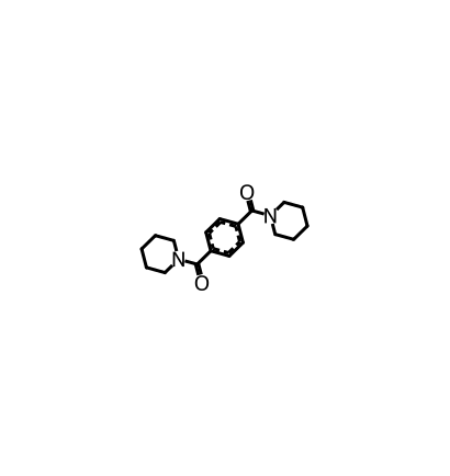 O=C(c1ccc(C(=O)N2CCCCC2)cc1)N1CCCCC1